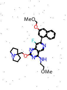 COCCNc1nc(OCC23CCCN2CCC3)nc2c(F)c(-c3cc(OCOC)cc4ccccc34)ncc12